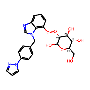 OC[C@H]1OC(O)[C@H](OOc2cccc3ncn(Cc4ccc(-n5cccn5)cc4)c23)[C@@H](O)[C@@H]1O